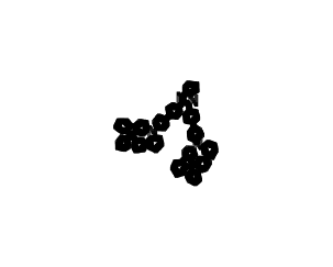 c1ccc(N(c2ccc(-c3ccc(-c4nc5ccccc5nc4-c4ccc(-c5ccc(N(c6ccccc6)c6ccc7c(c6)C(c6ccccc6)(c6ccccc6)c6ccccc6-7)cc5)cc4)cc3)cc2)c2ccc3c(c2)C(c2ccccc2)(c2ccccc2)c2ccccc2-3)cc1